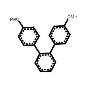 COc1ccc(-c2[c]cccc2-c2ccc(OC)cc2)cc1